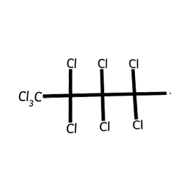 [CH2]C(Cl)(Cl)C(Cl)(Cl)C(Cl)(Cl)C(Cl)(Cl)Cl